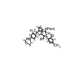 C=C(CCCCC)C/C(CC(C)(c1ccc(N2CCOCC2)cc1)c1ccsc1)=C(\Sc1ccc(C)cc1Cl)C(C)C